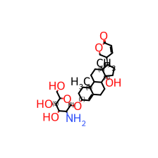 C[C@]12CC[C@H](O[C@@H]3OC(CO)[C@@H](O)C(O)C3N)C=C1CCC1C2CC[C@]2(C)[C@@H](C3C=CC(=O)OC3)CC[C@]12O